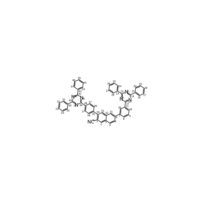 N#Cc1cc2ccc(-c3cccc(-c4nc(-c5ccccc5)nc(-c5ccccc5)n4)c3)cc2cc1-c1ccc(-c2nc(-c3ccccc3)nc(-c3ccccc3)n2)cc1